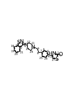 O=c1[nH]c(-c2ccc(CCN3CCN(c4nsc5ccccc45)CC3)cc2)cs1